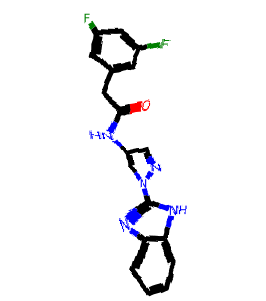 O=C(Cc1cc(F)cc(F)c1)Nc1cnn(-c2nc3ccccc3[nH]2)c1